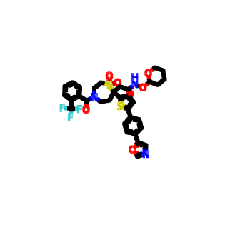 O=C(CC1(c2ccc(-c3ccc(-c4cnco4)cc3)s2)CCN(C(=O)c2ccccc2C(F)(F)F)CCS1(=O)=O)NOC1CCCCO1